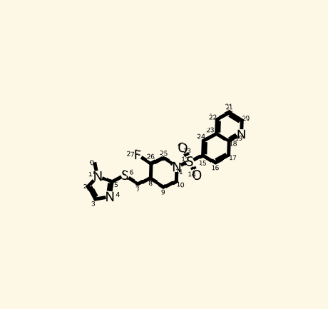 Cn1ccnc1SCC1CCN(S(=O)(=O)c2ccc3ncccc3c2)CC1F